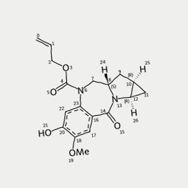 C=CCOC(=O)N1C[C@@H]2C[C@H]3C[C@H]3N2C(=O)c2cc(OC)c(O)cc21